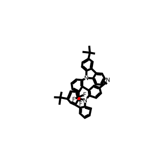 CC(C)(C)c1ccc2c(c1)c1ccccc1n2-c1ccc(C#N)cc1-c1c(-n2c3ccccc3c3cc(C(C)(C)C)ccc32)cccc1C(F)(F)F